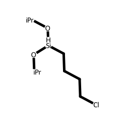 CC(C)O[SiH](CCCCCl)OC(C)C